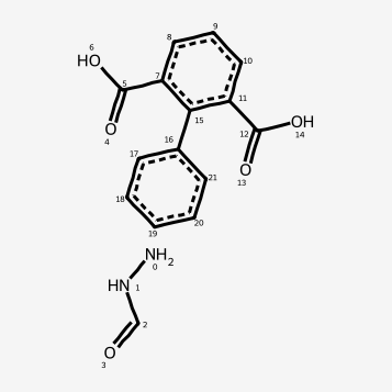 NNC=O.O=C(O)c1cccc(C(=O)O)c1-c1ccccc1